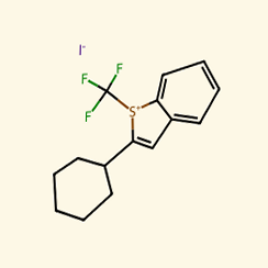 FC(F)(F)[s+]1c(C2CCCCC2)cc2ccccc21.[I-]